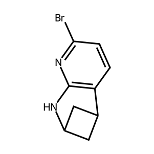 Brc1ccc2c(n1)NC1CC2C1